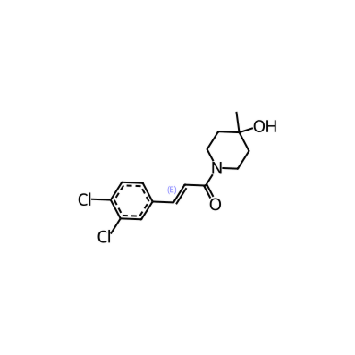 CC1(O)CCN(C(=O)/C=C/c2ccc(Cl)c(Cl)c2)CC1